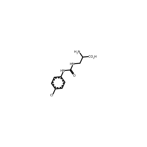 NC(CNC(=O)Nc1ccc(Cl)cc1)C(=O)O